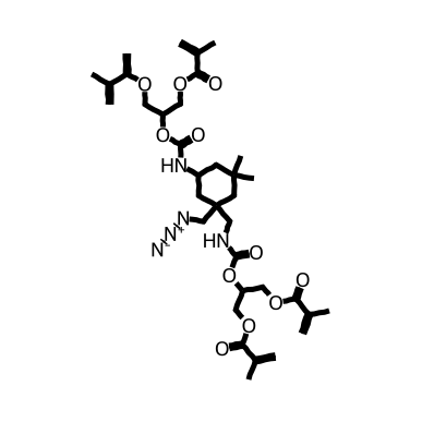 C=C(C)C(=C)OCC(COC(=O)C(=C)C)OC(=O)NC1CC(C)(C)CC(CN=[N+]=[N-])(CNC(=O)OC(COC(=O)C(=C)C)COC(=O)C(=C)C)C1